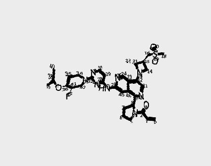 C=CC(=O)N1CCCC1c1ncc(N2C[C@H](CS(C)(=O)=O)[C@H]2C)c2cnc(Nc3ccnc(N4CC[C@@H](OC(C)C)[C@@H](F)C4)n3)cc12